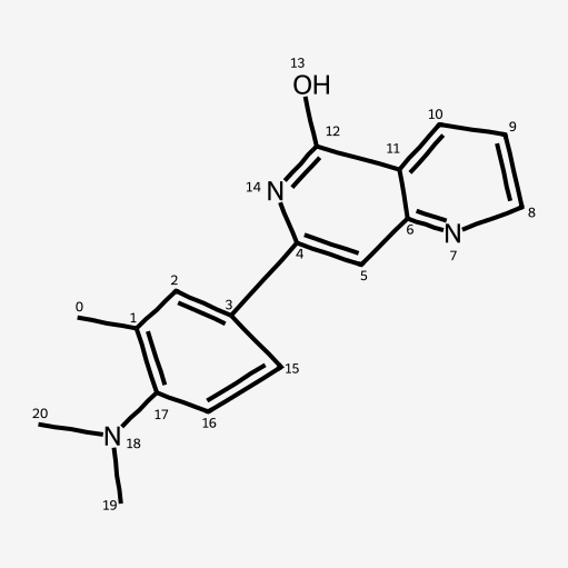 Cc1cc(-c2cc3ncccc3c(O)n2)ccc1N(C)C